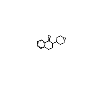 O=C1c2ccccc2CCC1C1CCOCC1